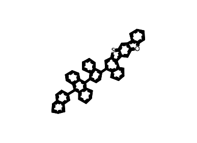 c1ccc2cc(-c3c4ccccc4c(-c4ccc(-c5cc6sc7cc8c(cc7c6c6ccccc56)oc5ccccc58)c5ccccc45)c4ccccc34)ccc2c1